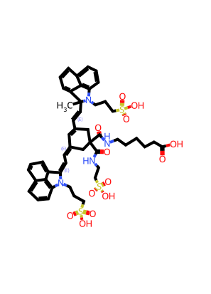 CC1(/C=C/C2=CC(=C/C=c3\c4cccc5cccc(c54)n3CCCS(=O)(=O)O)/CC(C(=O)NCCCCCC(=O)O)(C(=O)NCCS(=O)(=O)O)C2)c2cccc3cccc(c23)N1CCCS(=O)(=O)O